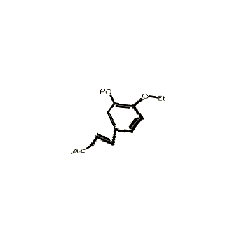 CCOc1ccc(C=CC(C)=O)cc1O